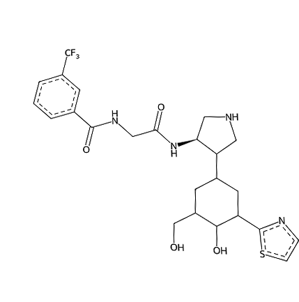 O=C(CNC(=O)c1cccc(C(F)(F)F)c1)N[C@H]1CNCC1C1CC(CO)C(O)C(c2nccs2)C1